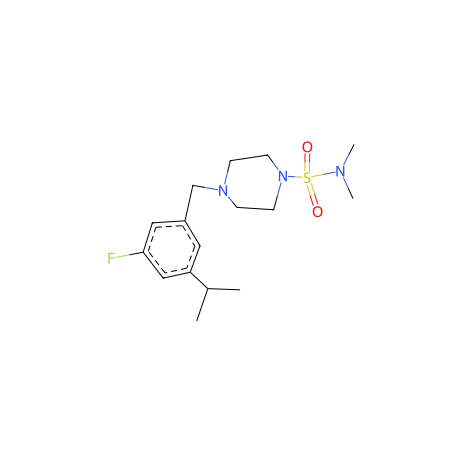 CC(C)c1cc(F)cc(CN2CCN(S(=O)(=O)N(C)C)CC2)c1